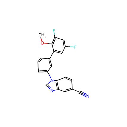 COc1c(F)cc(F)cc1-c1cccc(-n2cnc3cc(C#N)ccc32)c1